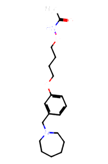 CC(=O)NOCCCCOc1cccc(CN2CCCCCC2)c1